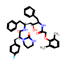 Cc1cccc(C)c1OCC(=O)NC(Cc1ccccc1)[C@@H](O)C[C@H](Cc1ccccc1)NC(=O)[C@H](Cc1ccc(F)cc1)N1CCCNC1=O